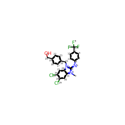 Cn1/c(=N/c2ccc(C(F)(F)F)cc2)n(Cc2ccc(CO)cc2)c2cc(Cl)c(Cl)cc21